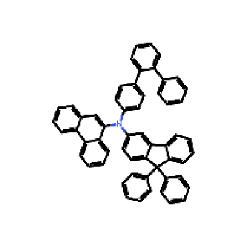 c1ccc(-c2ccccc2-c2ccc(N(c3ccc4c(c3)-c3ccccc3C4(c3ccccc3)c3ccccc3)c3cc4ccccc4c4ccccc34)cc2)cc1